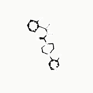 C[C@@H](NC(=O)N1CCN(c2ccncc2F)CC1)c1ccccc1Cl